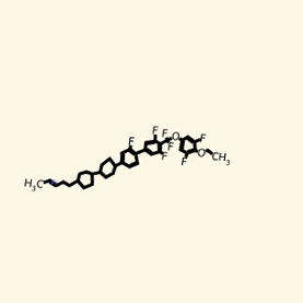 C/C=C/CCC1CCC(C2CCC(c3ccc(-c4cc(F)c(C(F)(F)Oc5cc(F)c(OCC)c(F)c5)c(F)c4)c(F)c3)CC2)CC1